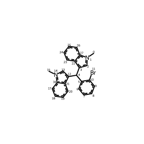 Cn1cc(C(c2ccccc2Br)c2cn(C)c3ccccc23)c2ccccc21